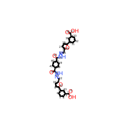 O=C(O)c1cccc(-c2ccc(/C=N/NC(=O)c3ccc(C(=O)N/N=C/c4ccc(-c5cccc(C(=O)O)c5)o4)cc3)o2)c1